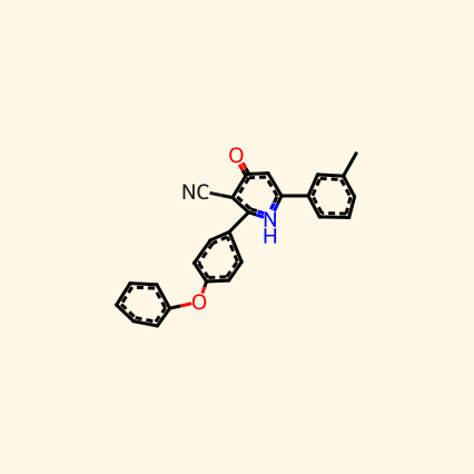 Cc1cccc(-c2cc(=O)c(C#N)c(-c3ccc(Oc4ccccc4)cc3)[nH]2)c1